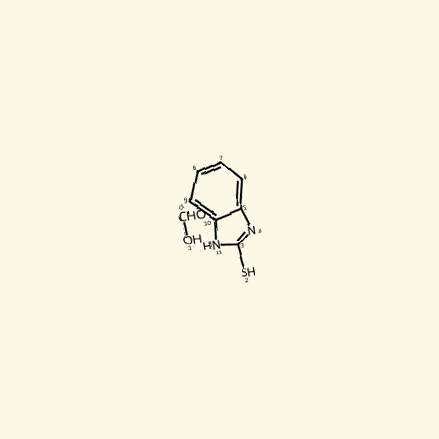 O=CO.Sc1nc2ccccc2[nH]1